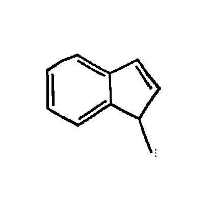 [C]C1C=Cc2ccccc21